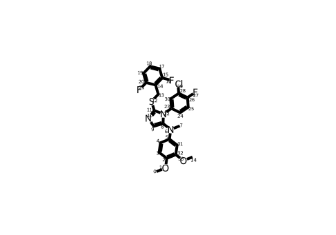 COc1ccc(N(C)c2cnc(SCc3c(F)cccc3F)n2-c2ccc(F)c(Cl)c2)cc1OC